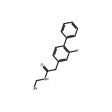 CC(C)CNC(=O)Cc1ccc(-c2ccccc2)c(F)c1